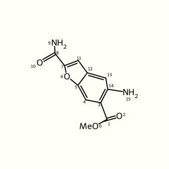 COC(=O)c1cc2oc(C(N)=O)cc2cc1N